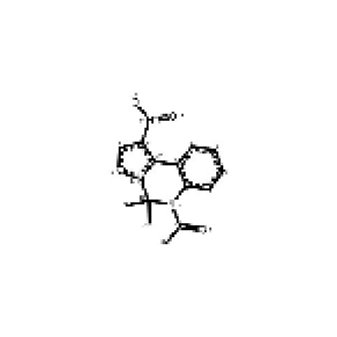 CC(=O)N1c2ccccc2-c2c([N+](=O)[O-])cnn2C1(C)C